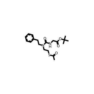 CC(=O)SCCN(CCc1ccccc1)C(=O)NCC(=O)OC(C)(C)C